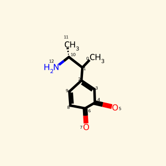 CC(C1=CC(=O)C(=O)C=C1)[C@@H](C)N